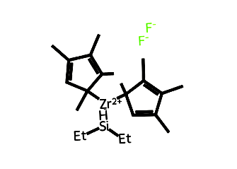 CC[SiH](CC)[Zr+2]([C]1(C)C=C(C)C(C)=C1C)[C]1(C)C=C(C)C(C)=C1C.[F-].[F-]